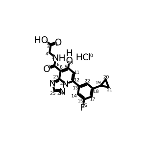 Cl.O=C(O)CNC(=O)c1c(O)cc(-c2cc(F)cc(C3CC3)c2)n2ncnc12